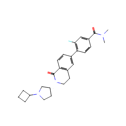 CN(C)C(=O)c1ccc(-c2ccc3c(c2)CCN([C@@H]2CCN(C4CCC4)C2)C3=O)c(F)c1